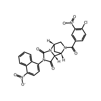 O=C1[C@H]2[C@@H]3C[C@@H](CN3C(=O)c3ccc(Cl)c([N+](=O)[O-])c3)N2C(=O)N1c1ccc([N+](=O)[O-])c2ccccc12